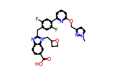 Cn1ccc(COc2cccc(-c3cc(F)c(Cc4nc5ccc(C(=O)O)cc5n4CC4CCO4)cc3F)n2)n1